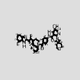 Cc1cnc(N2CC3(CCOCC3)C2)c(C(=O)Nc2ccc(C(=O)N3CCc4c(sc(-c5nc6cccc(F)c6[nH]5)c4F)-c4ncccc43)cc2)c1